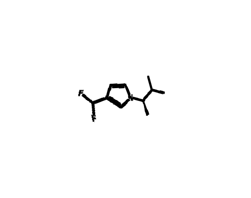 CC(C)[C@@H](C)n1ccc(C(F)F)c1